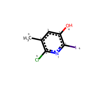 Cc1cc(O)c(I)nc1Cl